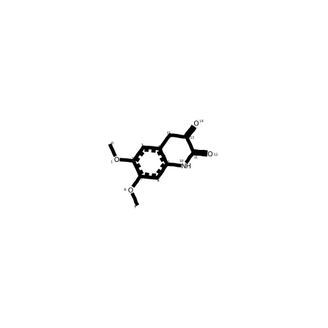 COc1cc2c(cc1OC)NC(=O)C(=O)C2